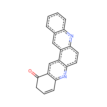 O=C1CC=Cc2nc3ccc4nc5ccccc5cc4c3cc21